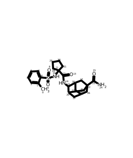 Cc1ccccc1S(=O)(=O)NC1(C(=O)NC2C3CC4CC2CC(C(N)=O)(C4)C3)CCCC1